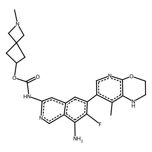 Cc1c(-c2cc3cc(NC(=O)OC4CC5(C4)CN(C)C5)ncc3c(N)c2F)cnc2c1NCCO2